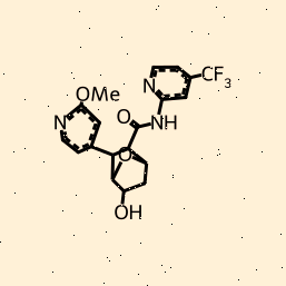 COc1cc(C2C3OC(CC3O)C2C(=O)Nc2cc(C(F)(F)F)ccn2)ccn1